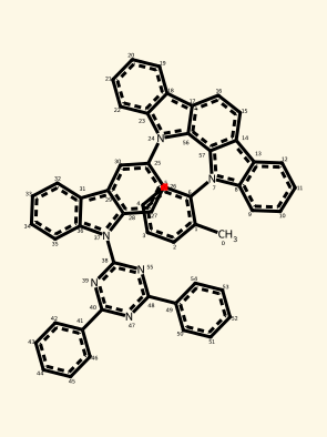 Cc1ccccc1-n1c2ccccc2c2ccc3c4ccccc4n(-c4ccc5c(c4)c4ccccc4n5-c4nc(-c5ccccc5)nc(-c5ccccc5)n4)c3c21